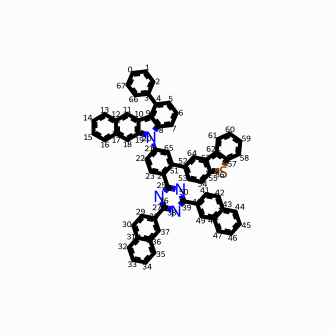 c1ccc(-c2cccc3c2c2cc4ccccc4cc2n3-c2ccc(-c3nc(-c4ccc5ccccc5c4)nc(-c4ccc5ccccc5c4)n3)c(-c3ccc4sc5ccccc5c4c3)c2)cc1